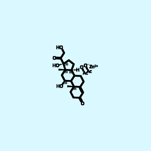 CC(=O)[O-].CC(=O)[O-].C[C@]12CCC(=O)C=C1CCC1C2[C@@H](O)C[C@@]2(C)[C@H]1CC[C@]2(O)C(=O)CO.[Zn+2]